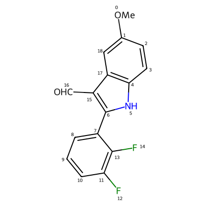 COc1ccc2[nH]c(-c3cccc(F)c3F)c(C=O)c2c1